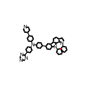 c1ccc(-n2ccc3ccc4c5cc(-c6ccc(N(c7ccc(-c8ccncc8)cc7)c7ccc(-c8ncncn8)cc7)cc6)ccc5n(-c5ccccc5)c4c32)cc1